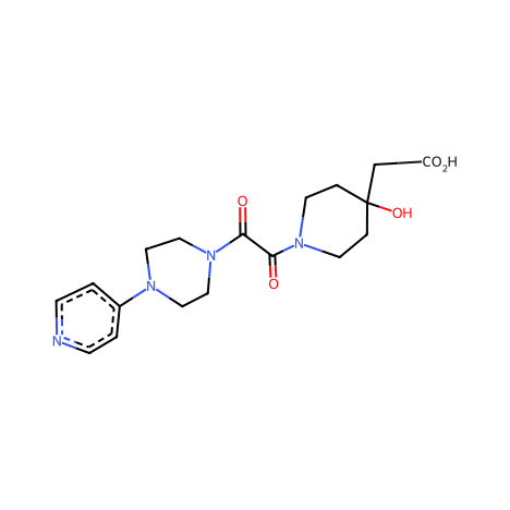 O=C(O)CC1(O)CCN(C(=O)C(=O)N2CCN(c3ccncc3)CC2)CC1